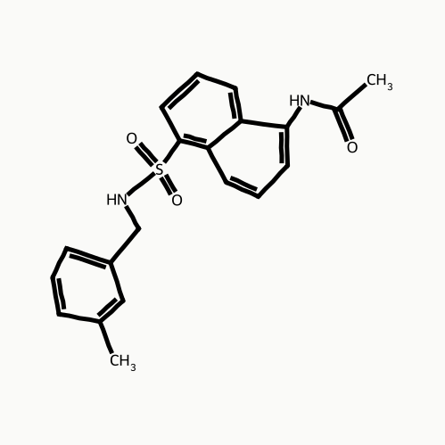 CC(=O)Nc1cccc2c(S(=O)(=O)NCc3cccc(C)c3)cccc12